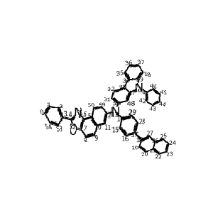 c1ccc(-c2nc3c(ccc4cc(N(c5ccc(-c6ccc7ccccc7c6)cc5)c5ccc6c7ccccc7n(-c7ccccc7)c6c5)ccc43)o2)cc1